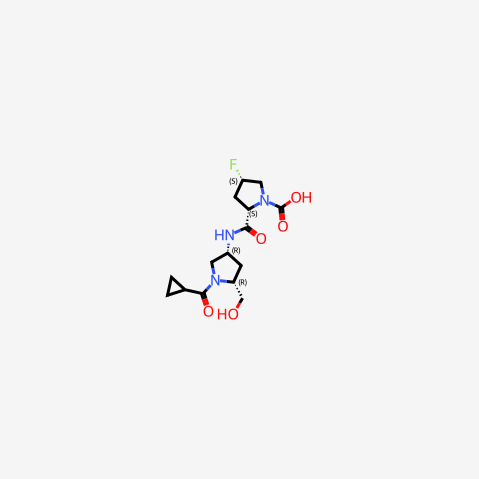 O=C(N[C@@H]1C[C@H](CO)N(C(=O)C2CC2)C1)[C@@H]1C[C@H](F)CN1C(=O)O